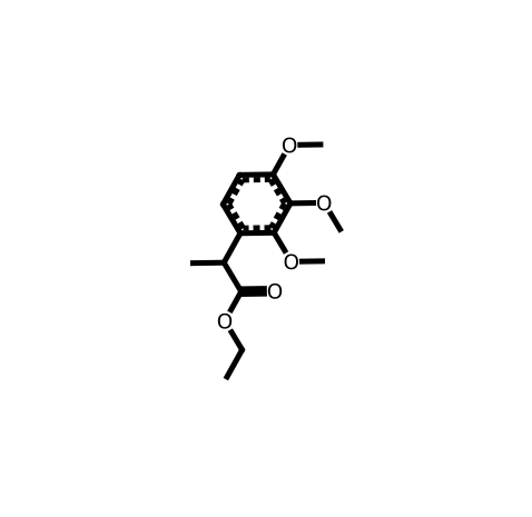 CCOC(=O)C(C)c1ccc(OC)c(OC)c1OC